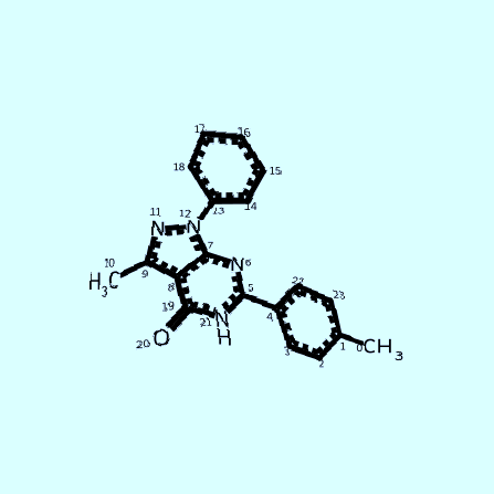 Cc1ccc(-c2nc3c(c(C)nn3-c3ccccc3)c(=O)[nH]2)cc1